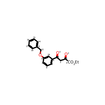 CCOC(=O)C(=O)CC(=O)c1cccc(OCc2ccccc2)c1